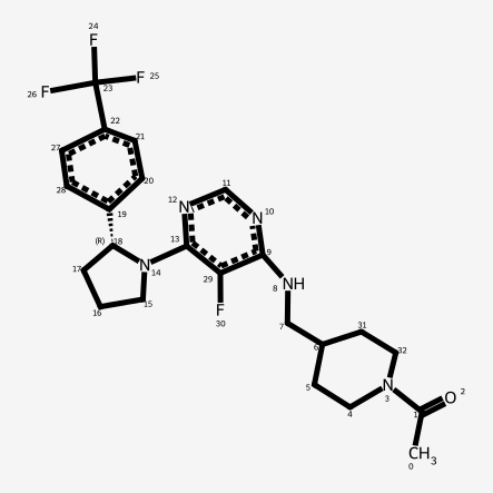 CC(=O)N1CCC(CNc2ncnc(N3CCC[C@@H]3c3ccc(C(F)(F)F)cc3)c2F)CC1